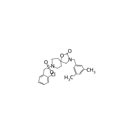 Cc1cc(C)cc(CN2CC3(CCN(S(=O)(=O)Cc4ccccc4Cl)CC3)OC2=O)c1